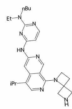 CCCCN(CC)c1nccc(Nc2cc3c(C(C)C)cnc(N4CCC45CNC5)c3cn2)n1